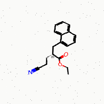 CCOC(=O)[C@H](CCC#N)Cc1cccc2ccccc12